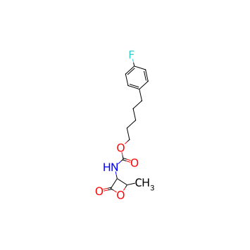 CC1OC(=O)C1NC(=O)OCCCCCc1ccc(F)cc1